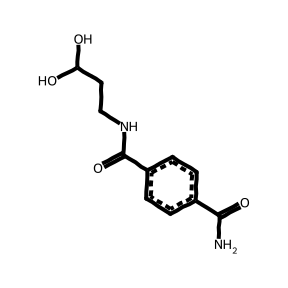 NC(=O)c1ccc(C(=O)NCCC(O)O)cc1